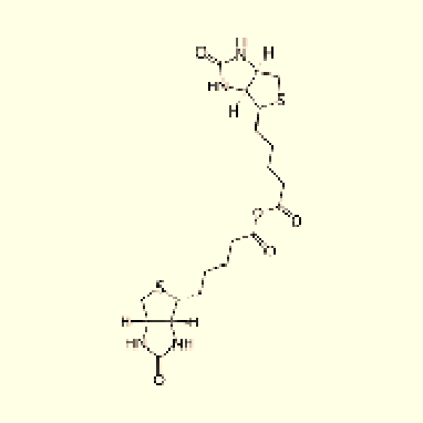 O=C1N[C@H]2[C@H](CS[C@H]2CCCCC(=O)OC(=O)CCCC[C@H]2SC[C@H]3NC(=O)N[C@H]32)N1